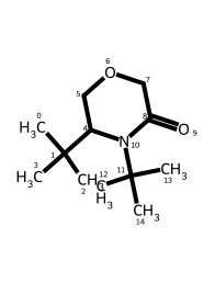 CC(C)(C)C1COCC(=O)N1C(C)(C)C